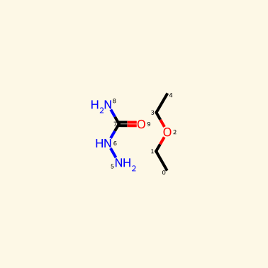 CCOCC.NNC(N)=O